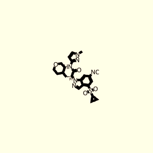 [C-]#[N+]c1cc(S(=O)(=O)C2CC2)c2cnn([C@H](CC3CCOCC3)C(=O)Nc3ccn(C)n3)c2c1